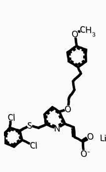 COc1ccc(CCCCOc2ccc(CSc3c(Cl)cccc3Cl)nc2/C=C/C(=O)[O-])cc1.[Li+]